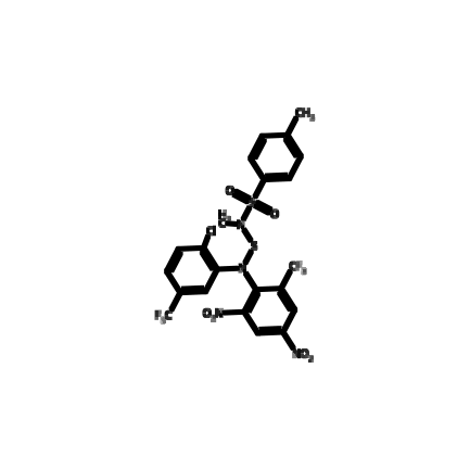 Cc1ccc(S(=O)(=O)N(C)SN(c2cc(C(F)(F)F)ccc2Cl)c2c([N+](=O)[O-])cc([N+](=O)[O-])cc2C(F)(F)F)cc1